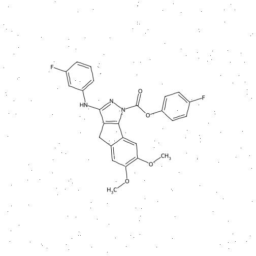 COc1cc2c(cc1OC)-c1c(c(Nc3cccc(F)c3)nn1C(=O)Oc1ccc(F)cc1)C2